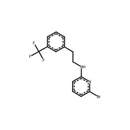 FC(F)(F)c1cccc(CCNc2cccc(Br)n2)c1